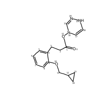 O=C(CCc1ccccc1OCC1CC1)ON1C=CNN=C1